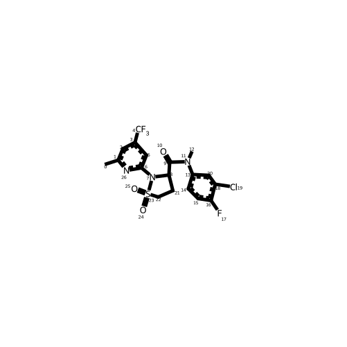 Cc1cc(C(F)(F)F)cc(N2C(C(=O)N(C)c3ccc(F)c(Cl)c3)CCS2(=O)=O)n1